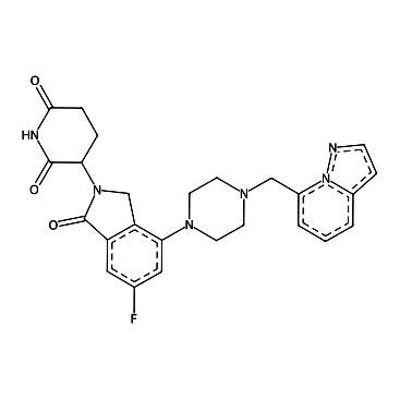 O=C1CCC(N2Cc3c(cc(F)cc3N3CCN(Cc4cccc5ccnn45)CC3)C2=O)C(=O)N1